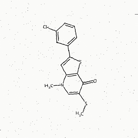 CSc1cn(C)c2cc(-c3cccc(Cl)c3)sc2c1=O